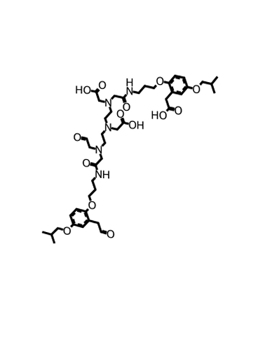 CC(C)COc1ccc(OCCCNC(=O)CN(CC=O)CCN(CCN(CC(=O)O)CC(=O)NCCCOc2ccc(OCC(C)C)cc2CC(=O)O)CC(=O)O)c(CC=O)c1